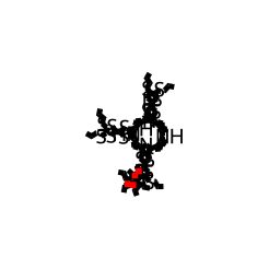 C=C1NC(=C)C(C)(C)c2[nH]c(c3c2S/C(=C2\SC(SCCC)=C(S(CCC)(CCC)(CCC)(CCC)C(CC)(CCC)CCC)S2)S3)C(C)(C)c2[nH]c(c3c2SC(=C2SC(SCCC)=C(SCCC)S2)S3)C(C)(C)c2[nH]c(c3c2SC(=C2SC(SCCC)=C(SCCC)S2)S3)C1(C)C